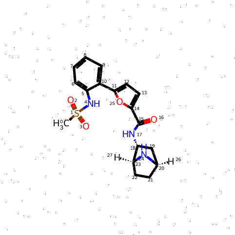 CS(=O)(=O)Nc1ccccc1-c1ccc(C(=O)N[C@@H]2C[C@H]3CC[C@@H]2N3)o1